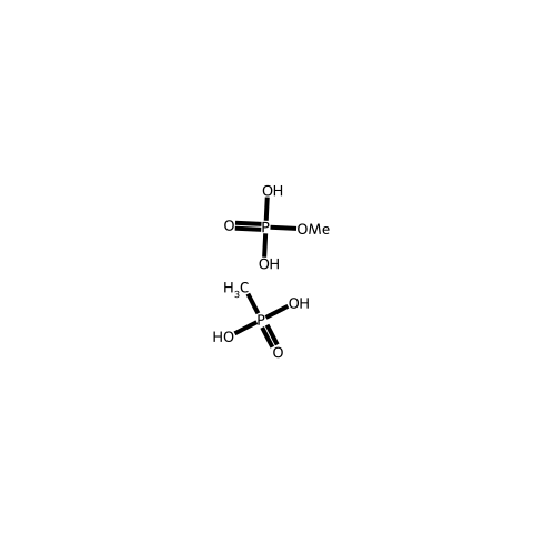 COP(=O)(O)O.CP(=O)(O)O